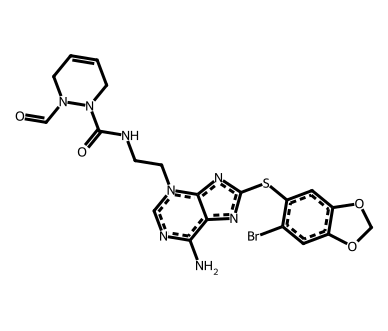 Nc1ncn(CCNC(=O)N2CC=CCN2C=O)c2nc(Sc3cc4c(cc3Br)OCO4)nc1-2